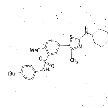 COc1ccc(-c2sc(NC3CCCCC3)nc2C)cc1S(=O)(=O)Nc1ccc(C(C)(C)C)cc1